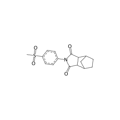 CS(=O)(=O)c1ccc(N2C(=O)C3C4CCC(C4)C3C2=O)cc1